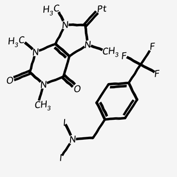 Cn1c(=O)c2c(n(C)c1=O)n(C)[c](=[Pt])n2C.FC(F)(F)c1ccc(CN(I)I)cc1